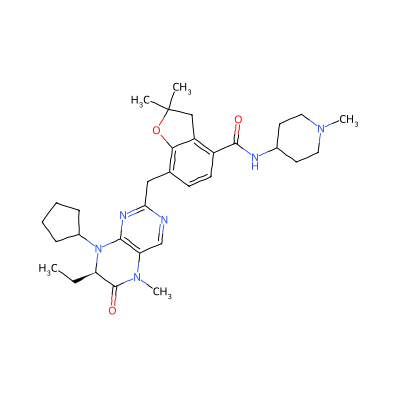 CC[C@@H]1C(=O)N(C)c2cnc(Cc3ccc(C(=O)NC4CCN(C)CC4)c4c3OC(C)(C)C4)nc2N1C1CCCC1